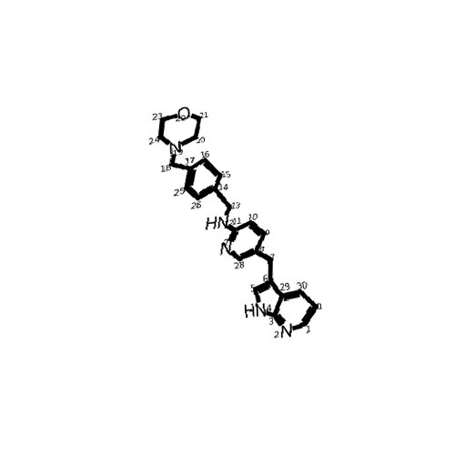 c1cnc2[nH]cc(Cc3ccc(NCc4ccc(CN5CCOCC5)cc4)nc3)c2c1